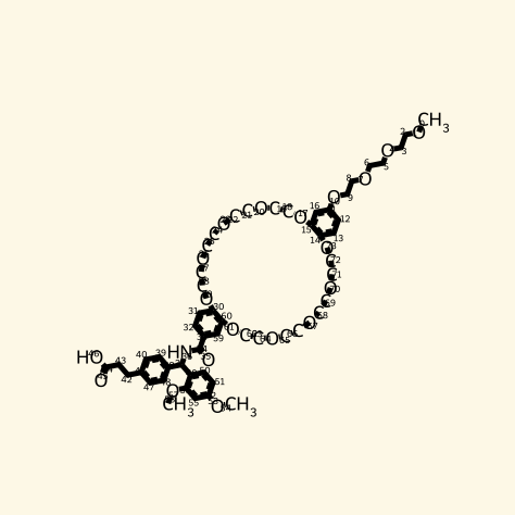 COCCOCCOCCOc1ccc2c(c1)OCCOCCOCCOCCOc1ccc(C(=O)NC(c3ccc(CCC(=O)O)cc3)c3ccc(OC)cc3OC)cc1OCCOCCOCCOCCO2